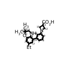 CCc1cc2c(c(-c3cccc(N4CC(C(=O)O)C4)c3)c1)NCC(C)(C)O2